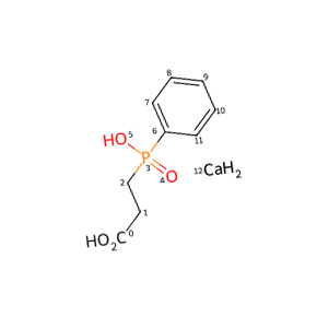 O=C(O)CCP(=O)(O)c1ccccc1.[CaH2]